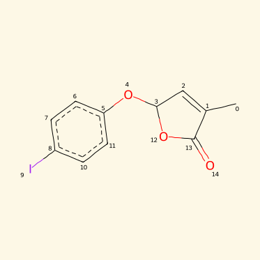 CC1=CC(Oc2ccc(I)cc2)OC1=O